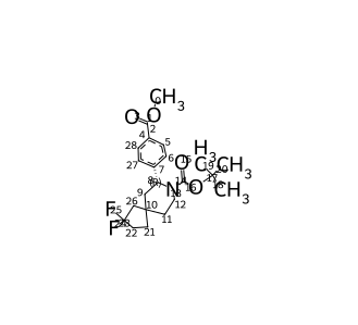 COC(=O)c1ccc([C@H]2CC3(CCN2C(=O)OC(C)(C)C)CCC(F)(F)C3)cc1